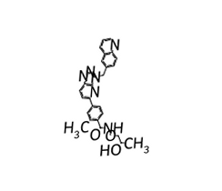 Cc1cc(-c2ccc3nnn(Cc4ccc5ncccc5c4)c3n2)ccc1C(=O)NOCC(C)O